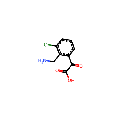 NCc1c(Cl)cccc1C(=O)C(=O)O